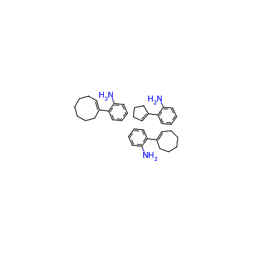 Nc1ccccc1C1=CCCC1.Nc1ccccc1C1=CCCCCC1.Nc1ccccc1C1=CCCCCCC1